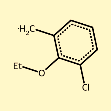 [CH2]c1cccc(Cl)c1OCC